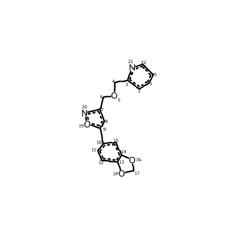 c1ccc(COCc2cc(-c3ccc4c(c3)OCO4)on2)nc1